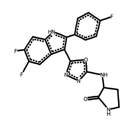 O=C1NCCC1Nc1nnc(-c2c(-c3ccc(F)cc3)[nH]c3cc(F)c(F)cc23)o1